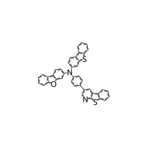 c1ccc2c(c1)oc1cc(N(c3ccc(-c4cnc5sc6ccccc6c5c4)cc3)c3ccc4c(c3)sc3ccccc34)ccc12